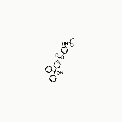 CCC(=O)Nc1ccc(OC(=O)N2CCC(C(O)(c3ccccc3)c3ccccc3)CC2)cc1